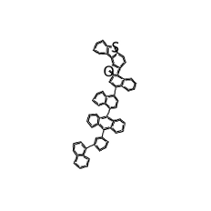 c1cc(-c2cccc3ccccc23)cc(-c2c3ccccc3c(-c3ccc(-c4cc5oc6c(ccc7sc8ccccc8c76)c5c5ccccc45)c4ccccc34)c3ccccc23)c1